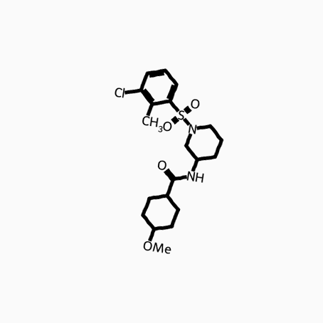 COC1CCC(C(=O)NC2CCCN(S(=O)(=O)c3cccc(Cl)c3C)C2)CC1